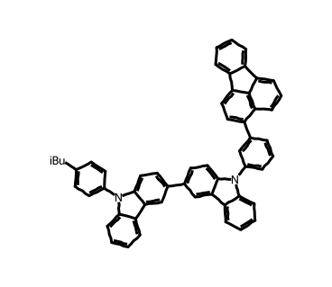 CCC(C)c1ccc(-n2c3ccccc3c3cc(-c4ccc5c(c4)c4ccccc4n5-c4cccc(-c5ccc6c7c(cccc57)-c5ccccc5-6)c4)ccc32)cc1